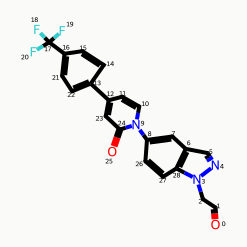 O=CCn1ncc2cc(-n3ccc(-c4ccc(C(F)(F)F)cc4)cc3=O)ccc21